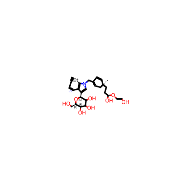 C#C/C=C\c1c([C@@H]2O[C@H](CO)[C@H](O)C(O)C2O)cn(CC2=CC[C@](C)(CCC(O)OCCO)C=C2)c1CC